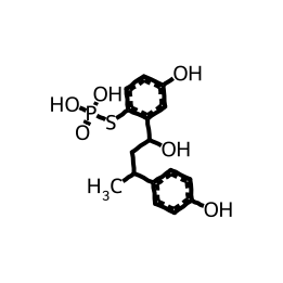 CC(CC(O)c1cc(O)ccc1SP(=O)(O)O)c1ccc(O)cc1